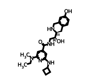 CCN(C)c1cc(C(=O)NC[C@@H](O)[C@@H]2Cc3ccc(O)cc3CN2)cc(NC2CCC2)n1